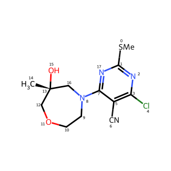 CSc1nc(Cl)c(C#N)c(N2CCOC[C@](C)(O)C2)n1